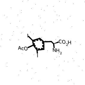 CC(=O)Oc1c(I)cc(C[C@H](N)C(=O)O)cc1I